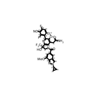 CCOc1c(CC(N)=O)cc([C@@](O)(CNC(=O)c2cc(OC)c3nn(C4CC4)cc3c2)C(F)(F)F)nc1-c1ccc(F)c(C#N)c1F